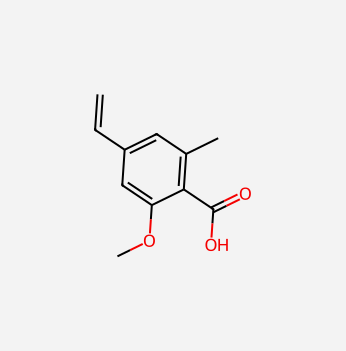 C=Cc1cc(C)c(C(=O)O)c(OC)c1